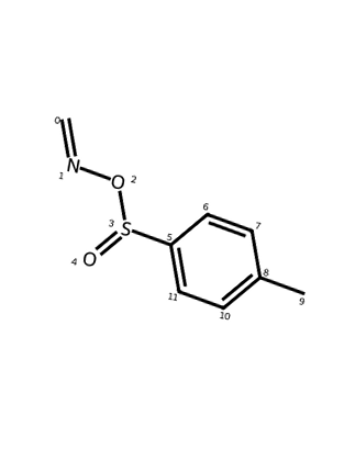 C=NOS(=O)c1ccc(C)cc1